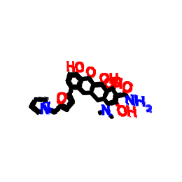 CN(C)C1C(O)=C(C(N)=O)C(=O)C2(O)C(O)=C3C(=O)c4c(O)ccc(-c5ccc(CN6CCCC6)o5)c4CC3CC12